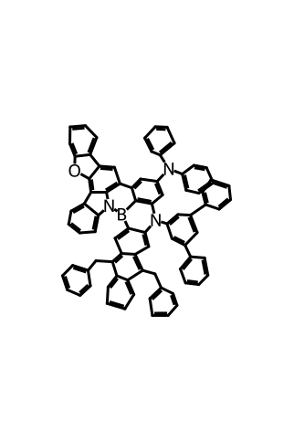 c1ccc(Cc2c3ccccc3c(Cc3ccccc3)c3cc4c(cc23)B2c3c(cc(N(c5ccccc5)c5ccccc5)cc3N4c3cc(-c4ccccc4)cc(-c4ccccc4)c3)-c3cc4c5ccccc5oc4c4c5ccccc5n2c34)cc1